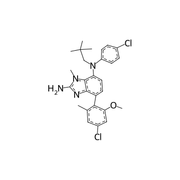 COc1cc(Cl)cc(C)c1-c1ccc(N(CC(C)(C)C)c2ccc(Cl)cc2)c2c1nc(N)n2C